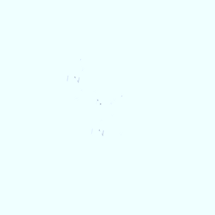 C=C1NC(=O)CCC1N1CC2NC(I)C3(CCCCCC3)CC2C1=O